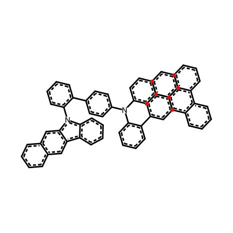 c1cc(-c2cc3ccccc3c3ccccc23)cc(N(c2ccc(-c3ccccc3-n3c4ccccc4c4cc5ccccc5cc43)cc2)c2ccccc2-c2ccc3ccccc3c2)c1